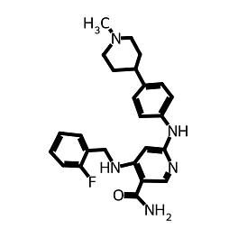 CN1CCC(c2ccc(Nc3cc(NCc4ccccc4F)c(C(N)=O)cn3)cc2)CC1